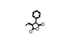 CC=C1C(=O)OC(=O)C1c1ccccc1